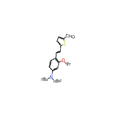 CCCCN(CCCC)c1ccc(/C=C/c2ccc(C=O)s2)c(OC(C)C)c1